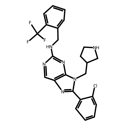 FC(F)(F)c1ccccc1CNc1ncc2nc(-c3ccccc3Cl)n(CC3CCNC3)c2n1